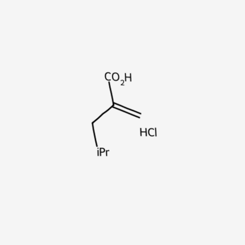 C=C(CC(C)C)C(=O)O.Cl